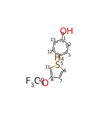 Oc1ccc([SH]2C=CC(OC(F)(F)F)=C2)cc1